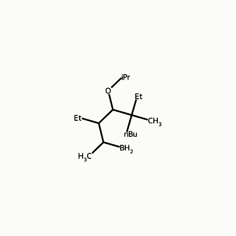 BC(C)C(CC)C(OC(C)C)C(C)(CC)CCCC